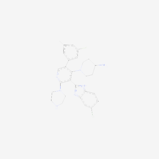 Cc1cc(F)cc(-c2cnc(N3CCNCC3)c(-c3nc4cc(Cl)ccc4[nH]3)c2N2CCC(N)CC2)c1